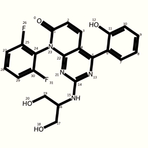 O=c1ccc2c(-c3ccccc3O)nc(NC(CO)CO)nc2n1-c1c(F)cccc1F